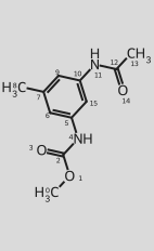 COC(=O)Nc1cc(C)cc(NC(C)=O)c1